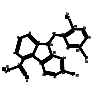 NC(=O)c1cccc2c1c1[c]cc(F)cc1n2Cc1cc(F)ccc1Br